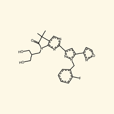 CC1(C)C(=O)N(CC(CO)CO)c2nc(-c3cc(-c4ccon4)n(Cc4ccccc4F)n3)ncc21